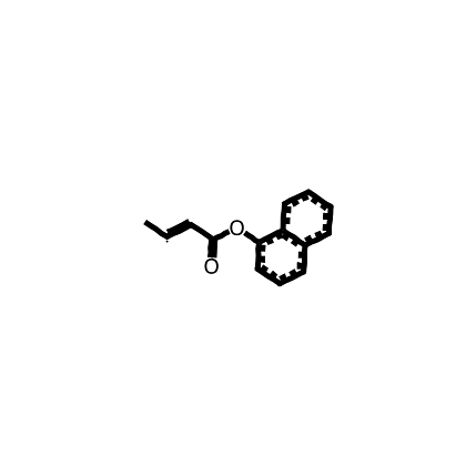 C[C]=CC(=O)Oc1cccc2ccccc12